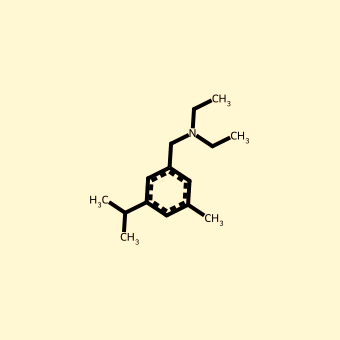 CCN(CC)Cc1cc(C)cc(C(C)C)c1